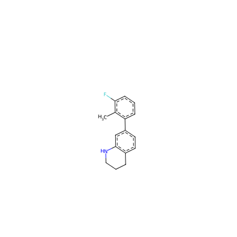 Cc1c(F)cccc1-c1ccc2c(c1)NCCC2